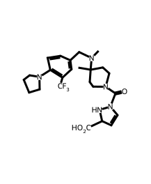 CN(Cc1ccc(N2CCCC2)c(C(F)(F)F)c1)C1(C)CCN(C(=O)N2C=CC(C(=O)O)N2)CC1